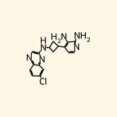 Nc1nccc(C2CC(Nc3cnc4ccc(Cl)cc4n3)C2)c1N